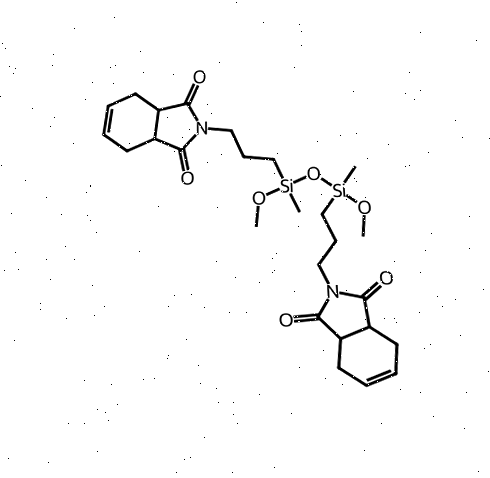 CO[Si](C)(CCCN1C(=O)C2CC=CCC2C1=O)O[Si](C)(CCCN1C(=O)C2CC=CCC2C1=O)OC